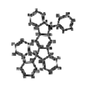 c1ccc(-n2c3ccccc3c3cc4c(cc32)-c2ccccc2C4(c2ccccc2)c2ccccc2)cc1